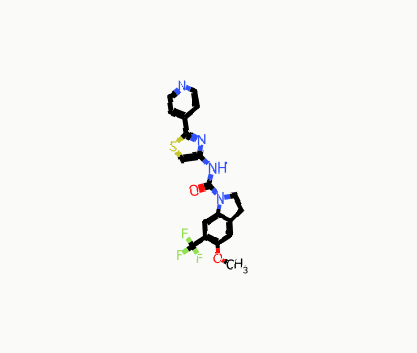 COc1cc2c(cc1C(F)(F)F)N(C(=O)Nc1csc(-c3ccncc3)n1)CC2